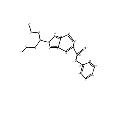 CCCC(CCC)n1cc2cc(C(=O)Oc3ccccc3)ccc2n1